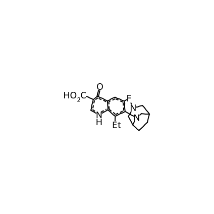 CCc1c(N2CC3CCC2CN(C)C3)c(F)cc2c(=O)c(C(=O)O)c[nH]c12